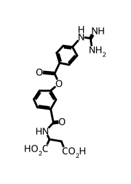 N=C(N)Nc1ccc(C(=O)Oc2cccc(C(=O)NC(CC(=O)O)C(=O)O)c2)cc1